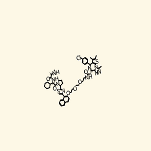 CN[C@@H](C)C(=O)N[C@H](C(=O)N1CCCC1c1nc(-c2c(OCCOCCOCCNC(=O)C[C@@H]3N=C(c4ccc(Cl)cc4)c4c(sc(C)c4C)-n4c(C)nnc43)ccc3ccccc23)cs1)C1CCCCC1